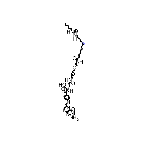 CCCCCNC(=O)NCCCC/C=C\CCCCCCC(=O)NCCOCCOCCNC(=O)CC[C@H](NC(=O)c1ccc(NCc2cnc3nc(N)[nH]c(=O)c3n2)cc1)C(=O)O